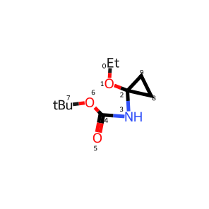 CCOC1(NC(=O)OC(C)(C)C)CC1